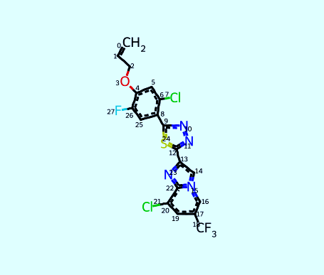 C=CCOc1cc(Cl)c(-c2nnc(-c3cn4cc(C(F)(F)F)cc(Cl)c4n3)s2)cc1F